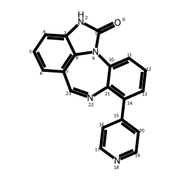 O=c1[nH]c2cccc3c2n1-c1cccc(-c2ccncc2)c1N=C3